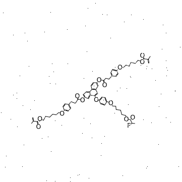 C=C(C)C(=O)OCCCCCCOc1ccc(CCC(=O)Oc2ccc3c(c2)cc(Oc2ccc(OCCCCCCOC(=O)C(C)F)cc2)c2cc(OC(=O)CCc4ccc(OCCCCCCOC(=O)C(=C)C)cc4)ccc23)cc1